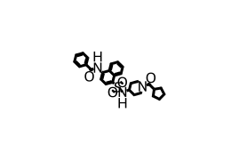 O=C(Nc1ccc(S(=O)(=O)NC2CCN(C(=O)C3CCCC3)CC2)c2ccccc12)c1ccccc1